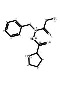 CCSC(=O)N(Cc1ccccc1)NC(=O)C1CCCN1